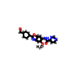 COc1cc2nc(C3CCC(C=O)CC3)oc2cc1NC(=O)c1ccncn1